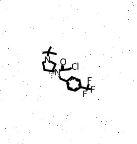 CC(C)(C)N1CC[C@](C)(N(Cc2ccc(C(F)(F)F)cc2)C(=O)CCl)C1